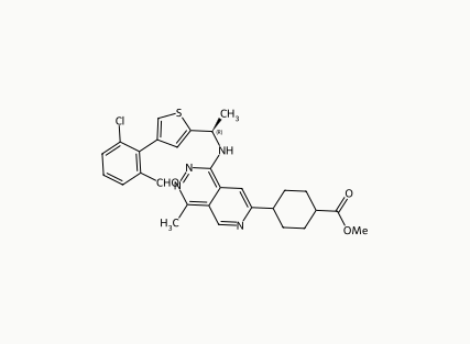 COC(=O)C1CCC(c2cc3c(N[C@H](C)c4cc(-c5c(Cl)cccc5C=O)cs4)nnc(C)c3cn2)CC1